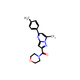 Cc1ccc(-c2cc(C(F)(F)F)n3nc(C(=O)N4CCOCC4)cc3n2)cc1